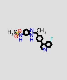 C[C@@H](c1nc2ccc(NS(C)(=O)=O)cc2[nH]1)C1CCC(c2ccnc3ccc(F)cc23)CC1